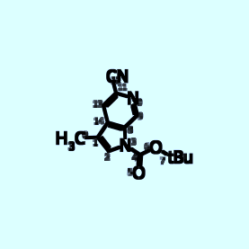 Cc1cn(C(=O)OC(C)(C)C)c2cnc(C#N)cc12